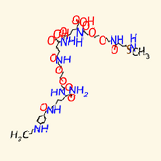 CCCNc1ccc(C(=O)NCCCCC(NC(=O)COCCOCCNC(=O)CCC(NC(=O)CCC(NC(=O)COCCOCCNC(=O)CCCSNC)C(=O)O)C(=O)O)C(N)=O)cc1